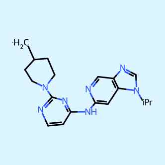 [CH2]C1CCN(c2nccc(Nc3cc4c(cn3)ncn4C(C)C)n2)CC1